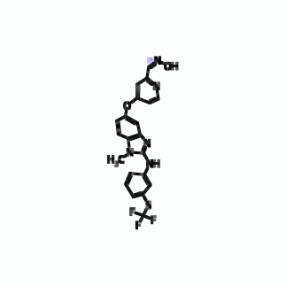 Cn1c(Nc2cccc(SC(F)(F)F)c2)nc2cc(Oc3ccnc(/C=N\O)c3)ccc21